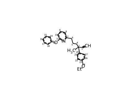 C#CC(C)(CCCc1cccc(Oc2ccccc2)n1)c1ccc(OCC)cc1